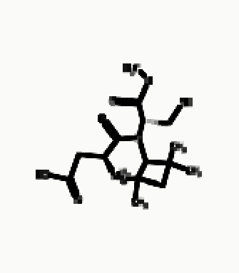 COC(=O)[C@H](CS)N(C(=O)[C@@H](N)CC(=O)O)C1C(C)(C)CC1(C)C